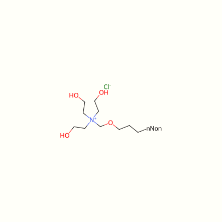 CCCCCCCCCCCCOC[N+](CCO)(CCO)CCO.[Cl-]